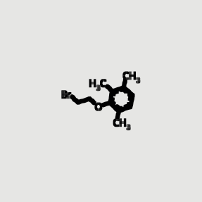 Cc1ccc(C)c(OCCBr)c1C